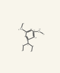 CC[C](CC)c1cc(OC)cc(OC)c1